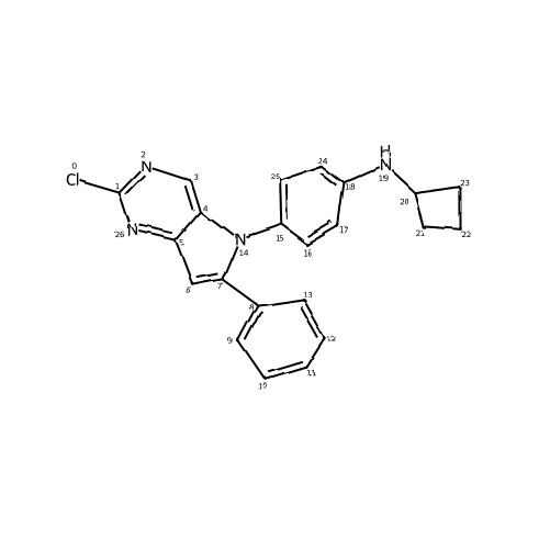 Clc1ncc2c(cc(-c3ccccc3)n2-c2ccc(NC3CCC3)cc2)n1